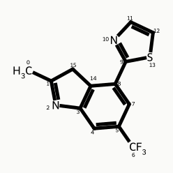 CC1=Nc2cc(C(F)(F)F)cc(-c3nccs3)c2C1